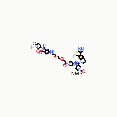 CNC(=O)N1CCc2c(c(N3CCCc4cc(-c5cnn(C)c5)c(C(F)F)cc43)nn2C2CCN(C(=O)CCOCCOCCNc3ccc4c(c3)C(=O)N(C3CCC(=O)NC3=O)C4=O)CC2)C1